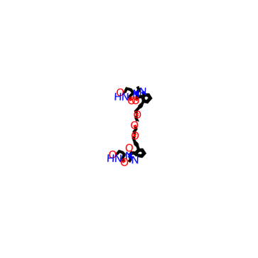 Cc1nc2cccc(C#CCOCCOCCOCC#Cc3cccc4nc(C)n(C5CCC(=O)NC5=O)c(=O)c34)c2c(=O)n1C1CCC(=O)NC1=O